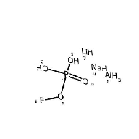 O=P(O)(O)OF.[AlH3].[LiH].[NaH]